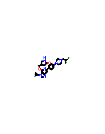 C[C@@H](Oc1nc(-c2ccc(N3CCN(CC(F)F)CC3)cc2)cc2ncn(C3CC3)c12)C1CNC(=O)C1